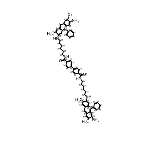 CC1=CC2=Cc3cc(C)c(N)cc3N(c3ccccc3)C2C=C1NCCCCCCNC(=O)c1ccc(-c2ccc(C(=O)NCCCCCCNc3cc4c(cc3C)cc3cc(C)c(N)cc3[n+]4-c3ccccc3)cc2)cc1